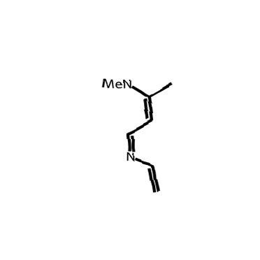 C=C/N=C\C=C(\C)NC